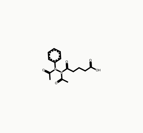 CC(=O)N(C(=O)CCCC(=O)O)N(C(C)=O)c1ccccc1